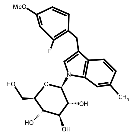 COc1ccc(Cc2cn([C@@H]3O[C@H](CO)[C@@H](O)[C@H](O)[C@H]3O)c3cc(C)ccc23)c(F)c1